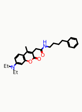 CCN(CC)c1ccc2c(C)c(CC(=O)NCCCCc3ccccc3)c(=O)oc2c1